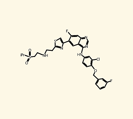 CC(C)S(=O)(=O)CCNCCc1nc(-c2cc3c(Nc4ccc(OCc5cccc(F)c5)c(Cl)c4)ncnc3cc2F)cs1